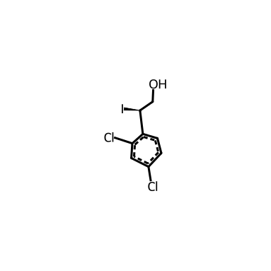 OC[C@H](I)c1ccc(Cl)cc1Cl